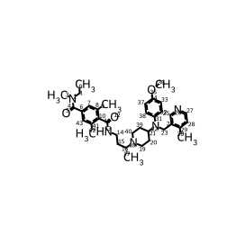 CCN(C)C(=O)c1cc(C)c(C(=O)NCC[C@@H](C)N2CCC(N(Cc3cnccc3C)c3ccc(OC)cc3)CC2)c(C)c1